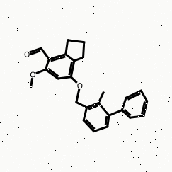 COc1cc(OCc2cccc(-c3ccccc3)c2C)c2c(c1C=O)CCC2